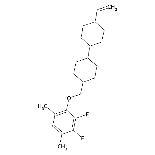 C=CC1CCC(C2CCC(COc3c(C)cc(C)c(F)c3F)CC2)CC1